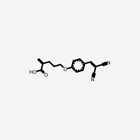 C=C(CCCOc1ccc(C=C(C#N)C#N)cc1)C(=O)O